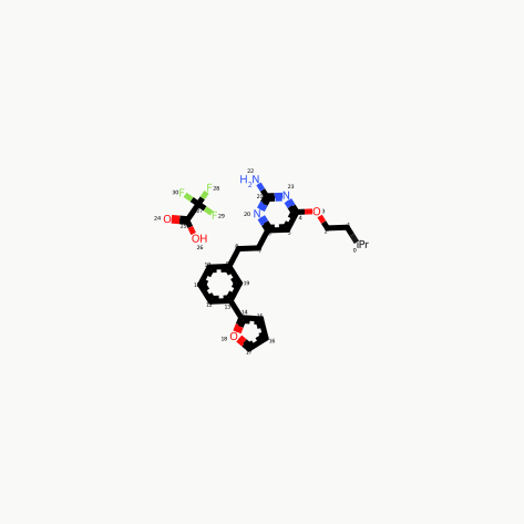 CC(C)CCOc1cc(CCc2cccc(-c3ccco3)c2)nc(N)n1.O=C(O)C(F)(F)F